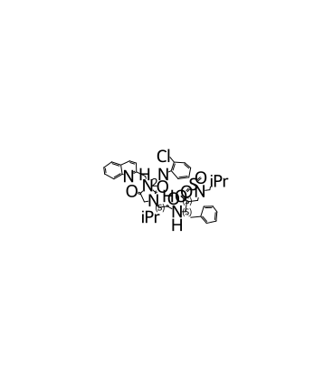 CC(C)CN(C[C@H](O)[C@H](Cc1ccccc1)NC(=O)[C@H](C(C)C)N1CC(=O)N(Cc2ccc3ccccc3n2)C1=O)S(=O)(=O)c1ccc(Cl)c(N)c1